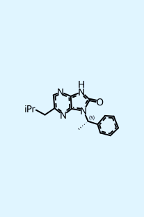 CC(C)Cc1cnc2[nH]c(=O)n([C@@H](C)c3ccccc3)c2n1